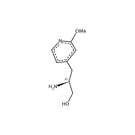 COc1cc(C[C@H](N)CO)ccn1